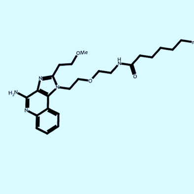 CCCCCCCCCCCCCCCC(=O)NCCOCCn1c(CCOC)nc2c(N)nc3ccccc3c21